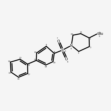 CC(C)(C)C1CCN(S(=O)(=O)c2ccc(-c3ccccc3)cc2)CC1